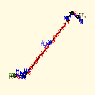 Cc1ccc(C(=O)Nc2ccc(CN3CCN(C)CC3)c(C(F)(F)F)c2)cc1C#Cc1cnc2cc(OCCOCCOCCOCCOCCOCCOCCN(N)/C=C(\N)COCCOCCOCCOCCOCCOCCOCCOCCNC(=O)C3CCN(c4ncc(C(=O)Nc5ccc(OC(F)(F)Cl)cc5)cc4-c4ccn[nH]4)CC3)ccn12